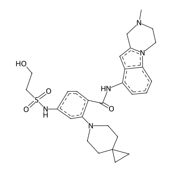 CN1CCn2c(cc3c(NC(=O)c4ccc(NS(=O)(=O)CCO)cc4N4CCC5(CC4)CC5)cccc32)C1